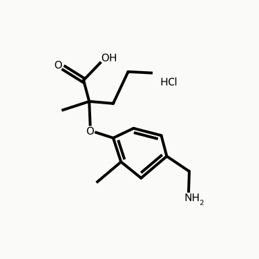 CCCC(C)(Oc1ccc(CN)cc1C)C(=O)O.Cl